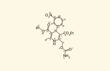 CCOC(=O)C1=C(COC(N)=O)NC(C)=C(C(=O)OC(C)C)C1c1cccc([N+](=O)[O-])c1